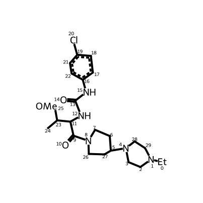 CCN1CCN(C2CCN(C(=O)C(NC(=O)Nc3ccc(Cl)cc3)C(C)OC)CC2)CC1